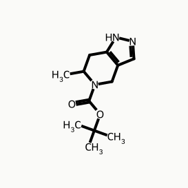 CC1Cc2[nH]ncc2CN1C(=O)OC(C)(C)C